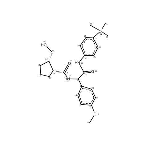 COc1ccc(C(NC(=O)[C@@H]2CCC[C@@H]2CO)C(=O)Nc2ccc(S(C)(C)C)cc2)cc1